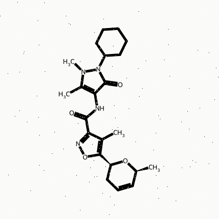 Cc1c(C(=O)Nc2c(C)n(C)n(C3CCCCC3)c2=O)noc1[C@@H]1CC=C[C@H](C)O1